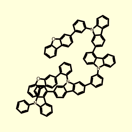 c1ccc(-n2c3ccccc3c3c(-c4ccc5c6ccc(-c7cccc(-n8c9ccccc9c9c(-c%10ccc%11c%12ccccc%12n(-c%12cccc(-c%13ccc%14c(c%13)oc%13ccccc%13%14)c%12)c%11c%10)cccc98)c7)cc6n(-c6ccccc6-c6ccc7c(c6)oc6ccccc67)c5c4)cccc32)cc1